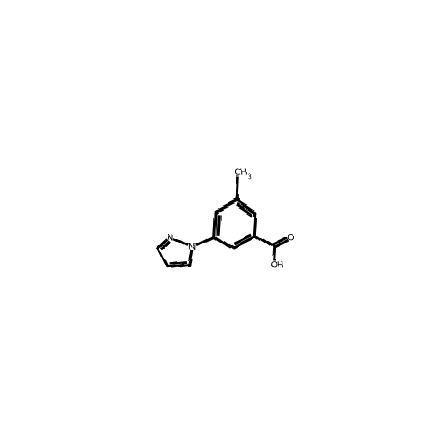 Cc1cc(C(=O)O)cc(-n2cccn2)c1